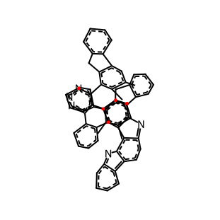 Cc1cc2c(c(-c3nnnc(-c4ccccc4-c4c(-c5ccccc5)ccc5c4-c4c6c(ccc4=N5)=c4ccccc4=N6)c3-c3c(C)c(C)cc4c3Cc3ccccc3-4)c1C)Cc1ccccc1-2